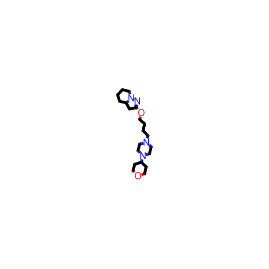 C(CCN1CCN(C2CCOCC2)CC1)COC1=NN2CCCCC2C1